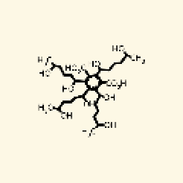 CC(O)CCCC(O)c1c(C(=O)O)c(C(O)CCCC(C)O)c(C(O)CCCC(C)O)c(C(O)CCCC(C)O)c1C(=O)O